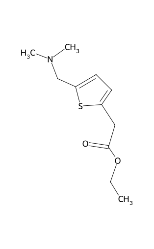 CCOC(=O)Cc1ccc(CN(C)C)s1